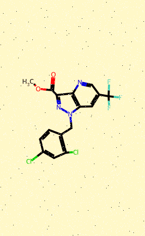 COC(=O)c1nn(Cc2ccc(Cl)cc2Cl)c2cc(C(F)(F)F)cnc12